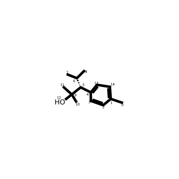 Cc1ccc([C@@H](C(C)C)C(C)(C)O)cc1